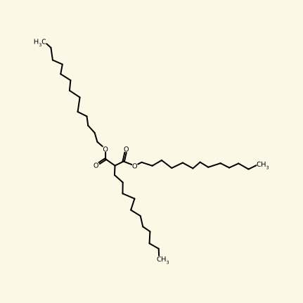 CCCCCCCCCCCCCOC(=O)C(CCCCCCCCCCC)C(=O)OCCCCCCCCCCCCC